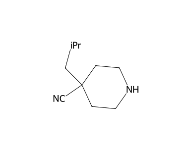 CC(C)CC1(C#N)CCNCC1